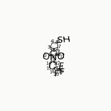 O=C1C2C3CC(S)C(C3)C2C(=O)N1c1cccc(C(F)(F)F)c1